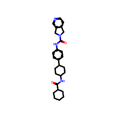 O=C(NC1CCC(c2ccc(NC(=O)N3Cc4ccncc4C3)cc2)CC1)C1CCCCC1